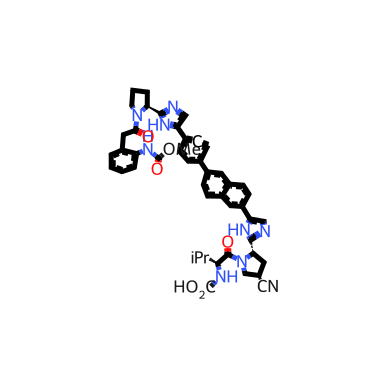 COC(=O)Nc1ccccc1CC(=O)N1CCC[C@H]1c1ncc(-c2ccc(-c3ccc4cc(-c5cnc([C@@H]6C[C@@H](C#N)CN6C(=O)[C@@H](NC(=O)O)C(C)C)[nH]5)ccc4c3)cc2)[nH]1